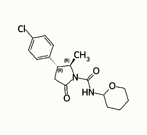 C[C@@H]1[C@@H](c2ccc(Cl)cc2)CC(=O)N1C(=O)NC1CCCCO1